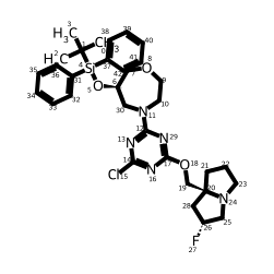 CC(C)(C)[Si](O[C@H]1COCCN(c2nc(Cl)nc(OC[C@@]34CCCN3C[C@H](F)C4)n2)C1)(c1ccccc1)c1ccccc1